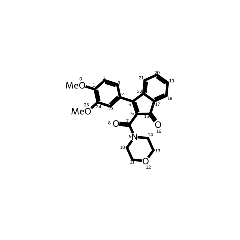 COc1ccc(C2=C(C(=O)N3CCOCC3)C(=O)c3ccccc32)cc1OC